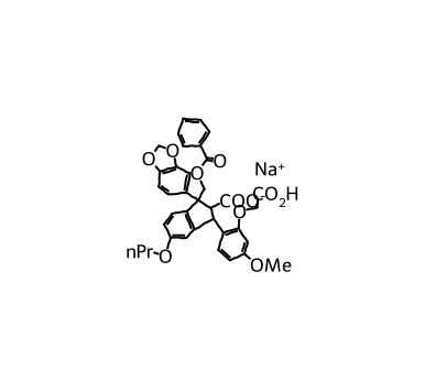 CCCOc1ccc2c(c1)C(c1ccc(OC)cc1OCC(=O)O)C(C(=O)[O-])C2(COC(=O)c1ccccc1)c1ccc2c(c1)OCO2.[Na+]